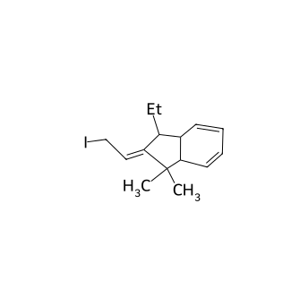 CCC1/C(=C\CI)C(C)(C)C2C=CC=CC12